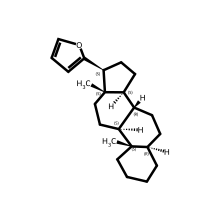 C[C@]12CCCC[C@@H]1CC[C@@H]1[C@@H]2CC[C@]2(C)[C@@H](c3ccco3)CC[C@@H]12